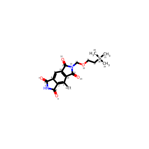 CCc1c2c(=O)[nH]c(=O)c2cc2c(=O)n(COCC[Si](C)(C)C)c(=O)c12